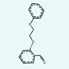 O=Cc1ccccc1OCCOc1ccccc1